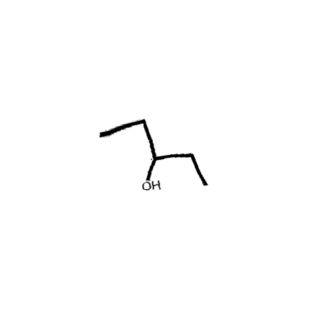 CC[C](O)CC